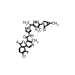 Cc1cc(C(C)n2cc(NC(=O)c3nc(-c4c(C(F)F)ccc(Cl)c4F)cnc3C)cn2)nnc1N1CC2C(C)C2C1=O